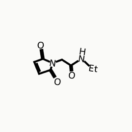 CCNC(=O)CN1C(=O)C=CC1=O